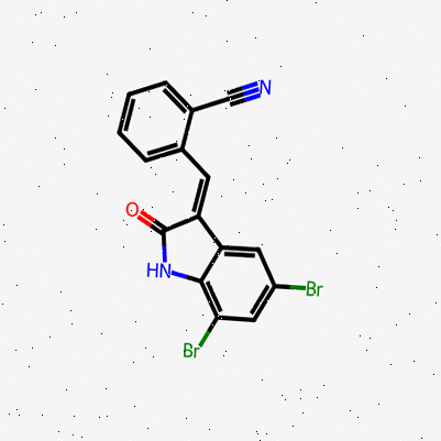 N#Cc1ccccc1C=C1C(=O)Nc2c(Br)cc(Br)cc21